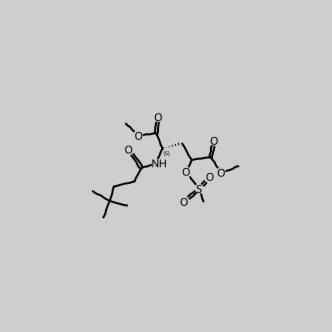 COC(=O)C(C[C@H](NC(=O)CCC(C)(C)C)C(=O)OC)OS(C)(=O)=O